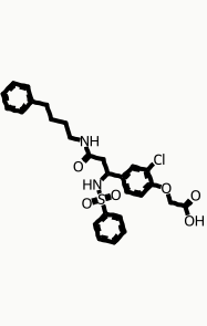 O=C(O)COc1ccc(C(CC(=O)NCCCCc2ccccc2)NS(=O)(=O)c2ccccc2)cc1Cl